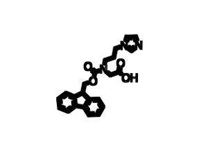 O=C(O)CN(CCCn1ccnc1)C(=O)OCC1c2ccccc2-c2ccccc21